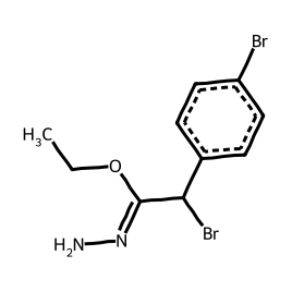 CCOC(=NN)C(Br)c1ccc(Br)cc1